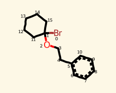 BrC1(OCCc2ccccc2)CCCCC1